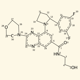 O=C(NCCO)c1cc(N2CCCC2c2cc(F)cc(F)c2)c2nc(N3CCOCC3)cnc2c1